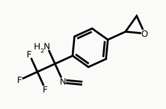 C=NC(N)(c1ccc(C2CO2)cc1)C(F)(F)F